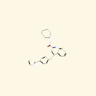 O=C(NC1CCCCC1)c1cc(Cc2ccc(-c3nccs3)cc2)c2ccccc2n1